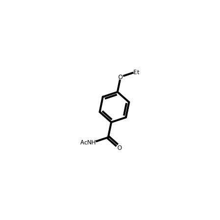 CCOc1ccc(C(=O)NC(C)=O)cc1